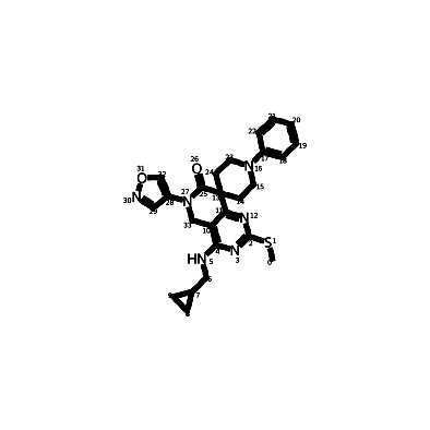 CSc1nc(NCC2CC2)c2c(n1)C1(CCN(c3ccccc3)CC1)C(=O)N(c1cnoc1)C2